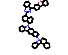 c1ccc2c(c1)ccc1c2c2ccccc2n1-c1ccc2cc3c(cc2c1)c1ccccc1n3-c1cccc2c(-c3nc(-c4ccc5c(c4)oc4ccccc45)c4ccccc4n3)cccc12